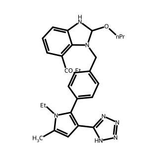 CCCOC1Nc2cccc(C(=O)OCC)c2N1Cc1ccc(-c2c(-c3nnn[nH]3)cc(C)n2CC)cc1